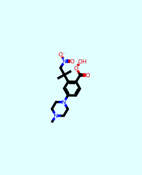 CN1CCN(c2ccc(C(=O)OO)c(C(C)(C)C[N+](=O)[O-])c2)CC1